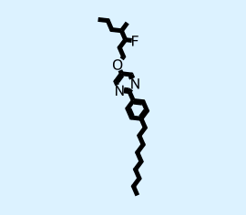 CCCCCCCCCc1ccc(-c2ncc(OCCC(F)C(C)CCC)cn2)cc1